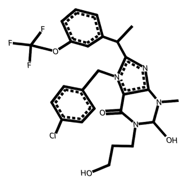 CC(c1cccc(OC(F)(F)F)c1)c1nc2c(n1Cc1ccc(Cl)cc1)C(=O)N(CCCO)C(O)N2C